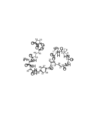 CC(C)C[C@@H]1NC(=O)C(C)(C)CNC(=O)CNC(=O)/C=C/C[C@@H]([C@H](C)C2O[C@@H]2c2ccc(CNC(=O)C(C)NC(=O)[C@@H](NC(=O)CCCC(=O)ON3C(=O)CCC3=O)C(C)C)cc2)OC1=O